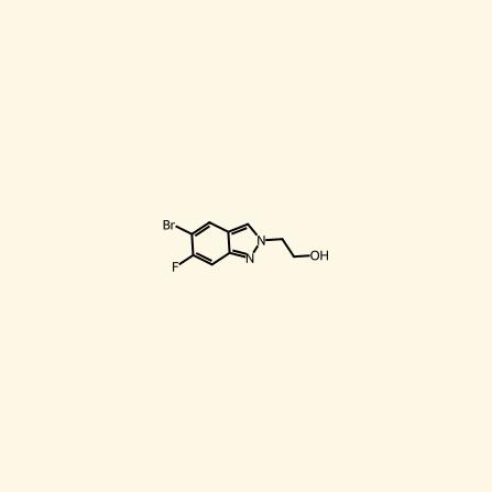 OCCn1cc2cc(Br)c(F)cc2n1